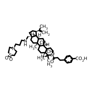 C=C(C)[C@@H]1CC[C@]2(CNCCCN3CCS(=O)(=O)CC3)CC[C@]3(C)[C@H](CC[C@@H]4[C@@]5(C)CCN(C(=O)CCc6ccc(C(=O)O)cc6)C(C)(C)[C@@H]5CC[C@]43C)[C@@H]12